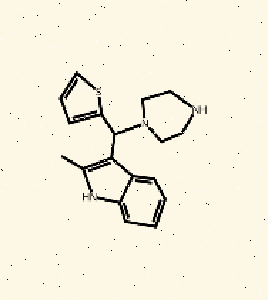 Cc1[nH]c2ccccc2c1C(c1cccs1)N1CCNCC1